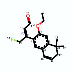 CCOc1cc2c(cc1/C(=C\C=O)CF)C=CCC2(C)C